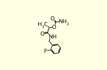 C[C@@H](OC(N)=O)C(=O)NCc1ccccc1F